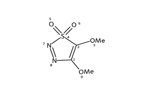 COC1=C(OC)S(=O)(=O)N=N1